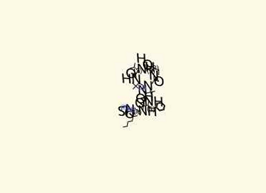 CCCCC(=O)C[C@H](/C=N/C=C\S)NC(=O)C(NC(=O)C(/N=C1\NCC(=O)N2CC[C@@H](C)[C@H]2C(=O)N[C@@H](C(C)C)C(=O)NC1C(C)(C)C)C(C)(C)C)[C@@H](C)c1ccccc1